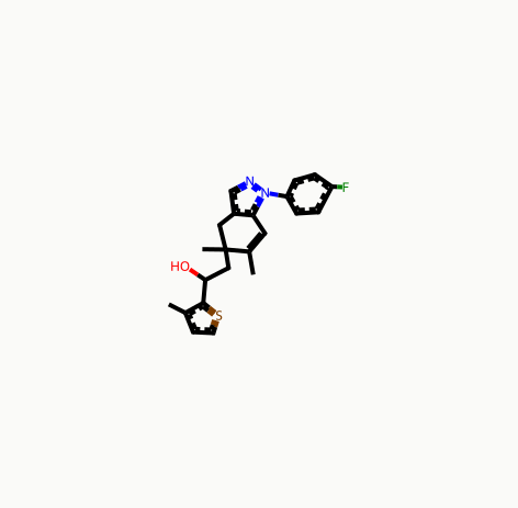 CC1=Cc2c(cnn2-c2ccc(F)cc2)CC1(C)CC(O)c1sccc1C